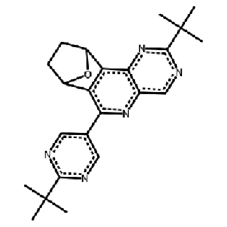 CC(C)(C)c1ncc(-c2nc3cnc(C(C)(C)C)nc3c3c2C2CCC3O2)cn1